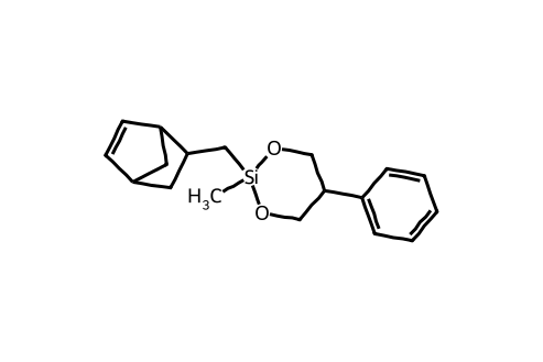 C[Si]1(CC2CC3C=CC2C3)OCC(c2ccccc2)CO1